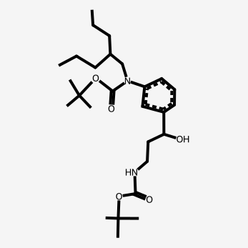 CCCC(CCC)CN(C(=O)OC(C)(C)C)c1cccc(C(O)CCNC(=O)OC(C)(C)C)c1